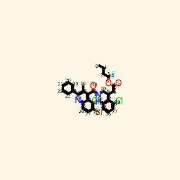 CCCC(F)OC(=O)CC(CNC(=O)c1c(C)c(-c2ccccc2)nc2ccc(Br)cc12)c1c(Cl)cccc1Cl